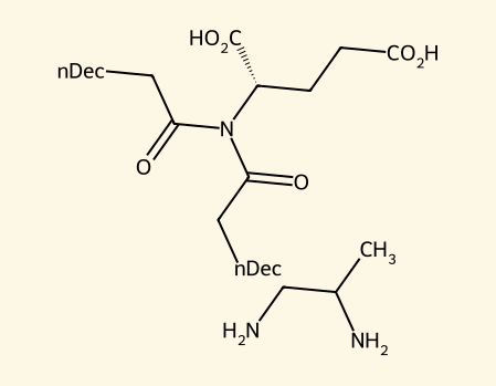 CC(N)CN.CCCCCCCCCCCC(=O)N(C(=O)CCCCCCCCCCC)[C@@H](CCC(=O)O)C(=O)O